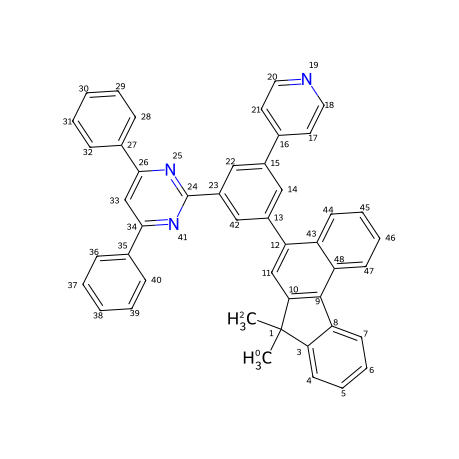 CC1(C)c2ccccc2-c2c1cc(-c1cc(-c3ccncc3)cc(-c3nc(-c4ccccc4)cc(-c4ccccc4)n3)c1)c1ccccc21